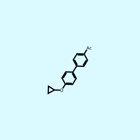 CC(=O)c1ccc(-c2ccc(OC3CC3)cc2)cc1